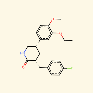 CCOc1cc([C@H]2CNC(=O)[C@@H](Cc3ccc(F)cc3)C2)ccc1OC